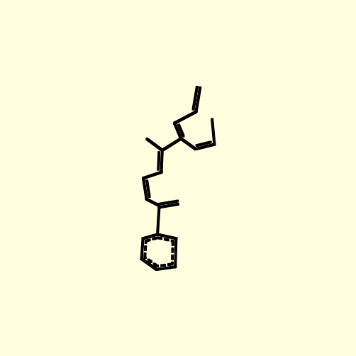 C=C/C=C(\C=C/C)C(/C)=C/C=C\C(=C)c1ccccc1